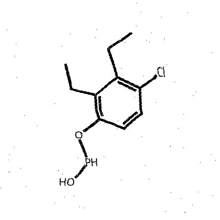 CCc1c(Cl)ccc(OPO)c1CC